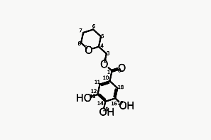 O=C(OCC1CCCCO1)c1cc(O)c(O)c(O)c1